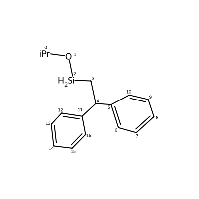 CC(C)O[SiH2]CC(c1ccccc1)c1ccccc1